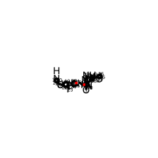 Cn1c(=O)n(CCN2CCN(c3ccc(OC4CCNC4)cc3F)CC2)c2nc(N)n3nc(-c4ccco4)cc3c21